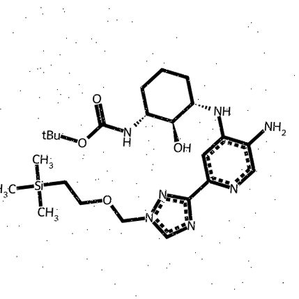 CC(C)(C)OC(=O)N[C@@H]1CCC[C@H](Nc2cc(-c3ncn(COCC[Si](C)(C)C)n3)ncc2N)[C@H]1O